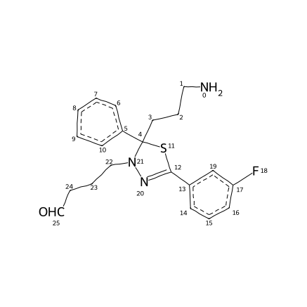 NCCCC1(c2ccccc2)SC(c2cccc(F)c2)=NN1CCCC=O